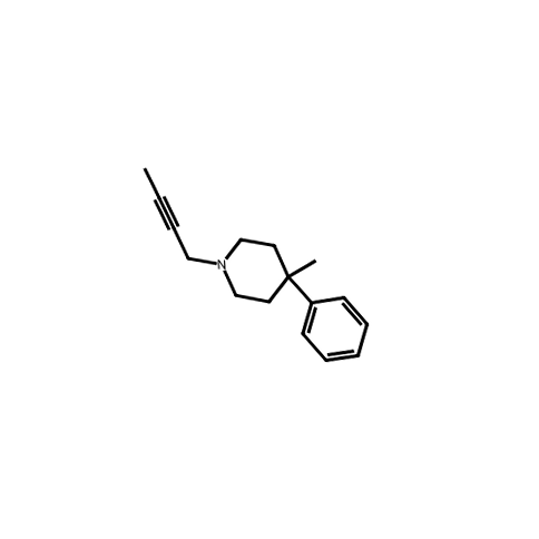 CC#CCN1CCC(C)(c2ccccc2)CC1